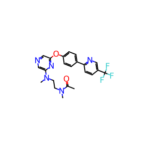 CC(=O)N(C)CCN(C)c1cncc(Oc2ccc(-c3ccc(C(F)(F)F)cn3)cc2)n1